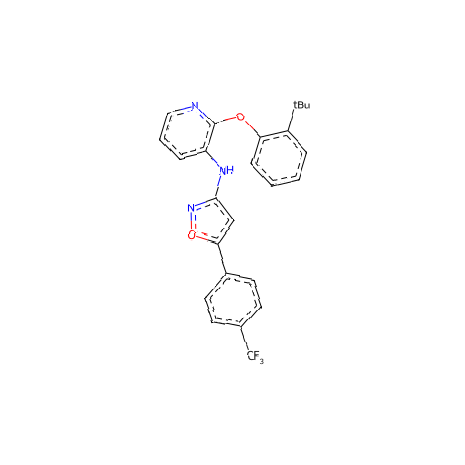 CC(C)(C)c1ccccc1Oc1ncccc1Nc1cc(-c2ccc(C(F)(F)F)cc2)on1